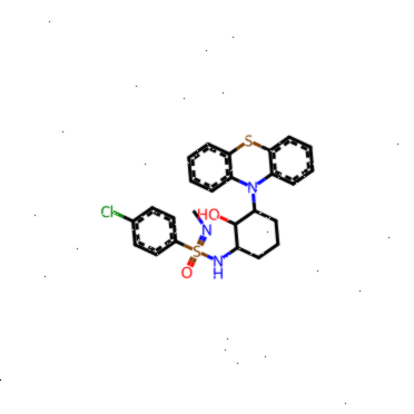 CN=S(=O)(NC1CCCC(N2c3ccccc3Sc3ccccc32)C1O)c1ccc(Cl)cc1